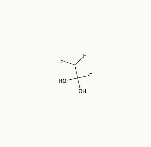 OC(O)(F)C(F)F